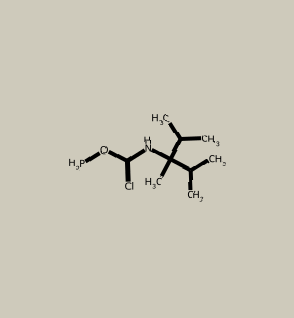 CC(C)C(C)(NC(Cl)OP)C(C)C